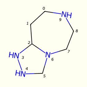 C1CC2NNCN2CCN1